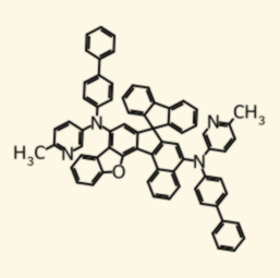 Cc1ccc(N(c2ccc(-c3ccccc3)cc2)c2cc3c(c4ccccc24)-c2c(cc(N(c4ccc(-c5ccccc5)cc4)c4ccc(C)nc4)c4c2oc2ccccc24)C32c3ccccc3-c3ccccc32)cn1